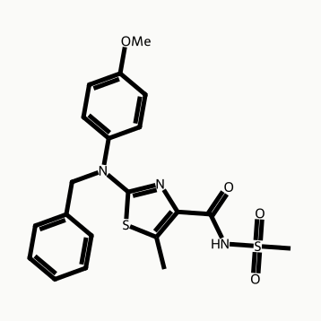 COc1ccc(N(Cc2ccccc2)c2nc(C(=O)NS(C)(=O)=O)c(C)s2)cc1